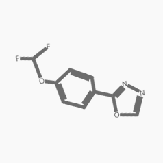 FC(F)Oc1ccc(-c2nnco2)cc1